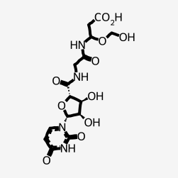 O=C(O)CC(NC(=O)CNC(=O)[C@H]1O[C@@H](n2ccc(=O)[nH]c2=O)[C@H](O)[C@@H]1O)OCO